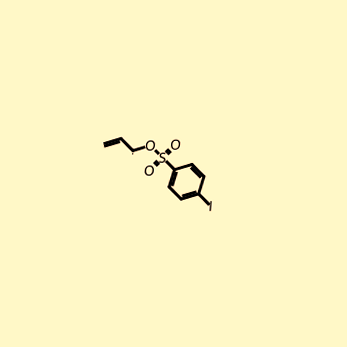 C=C[CH]OS(=O)(=O)c1ccc(I)cc1